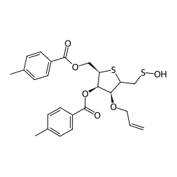 C=CCO[C@@H]1C(CSO)S[C@H](COC(=O)c2ccc(C)cc2)[C@@H]1OC(=O)c1ccc(C)cc1